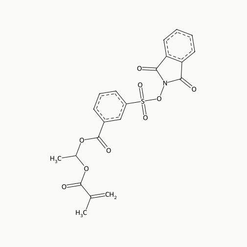 C=C(C)C(=O)OC(C)OC(=O)c1cccc(S(=O)(=O)ON2C(=O)c3ccccc3C2=O)c1